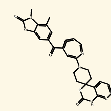 Cc1cc(C(=O)C2=C=CC=NC(N3CCC4(CC3)OC(=O)Nc3ncccc34)=C2)cc2oc(=O)n(C)c12